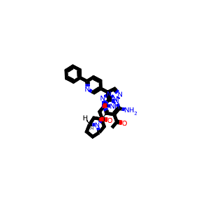 CC(=O)c1c([C@@H]2CC3CC[C@@H](C2)N3C(=O)Cc2nnn[nH]2)nc2c(-c3ccc(-c4ccccc4)nc3)cnn2c1N